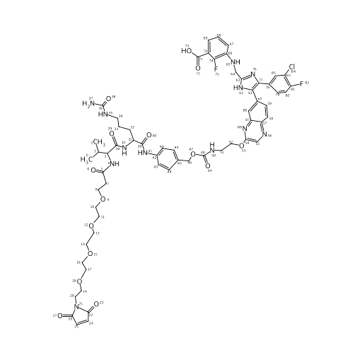 CC(C)C(NC(=O)CCOCCOCCOCCOCCN1C(=O)C=CC1=O)C(=O)NC(CCCNC(N)=O)C(=O)Nc1ccc(COC(=O)NCCOc2cnc3ccc(-c4[nH]c(CNc5cccc(C(=O)O)c5F)nc4-c4ccc(F)c(Cl)c4)cc3n2)cc1